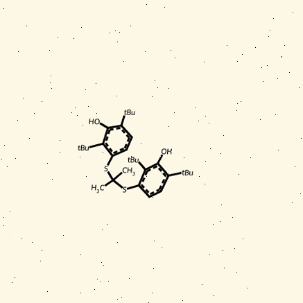 CC(C)(Sc1ccc(C(C)(C)C)c(O)c1C(C)(C)C)Sc1ccc(C(C)(C)C)c(O)c1C(C)(C)C